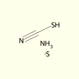 N.N#CS.[S]